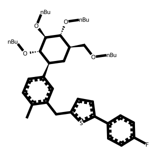 CCCCOC[C@H]1C[C@@H](c2ccc(C)c(Cc3ccc(-c4ccc(F)cc4)s3)c2)[C@H](OCCCC)[C@@H](OCCCC)[C@@H]1OCCCC